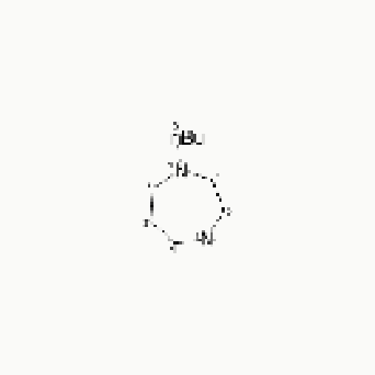 CCCCN1CCC[N]CC1